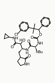 CCCC[C@H](NC(=O)OC(c1ccccc1)C(C)(C)c1cccc(Cl)c1)C(=O)N[C@@H](CC1CCNC1=O)C(O)C(=O)NC1CC1